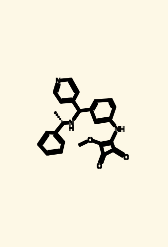 COc1c(Nc2cccc(C(N[C@@H](C)c3ccccc3)c3ccncc3)c2)c(=O)c1=O